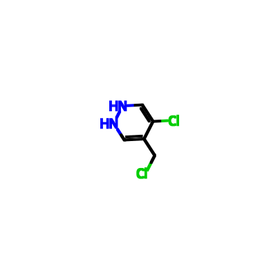 ClCC1=CNNC=C1Cl